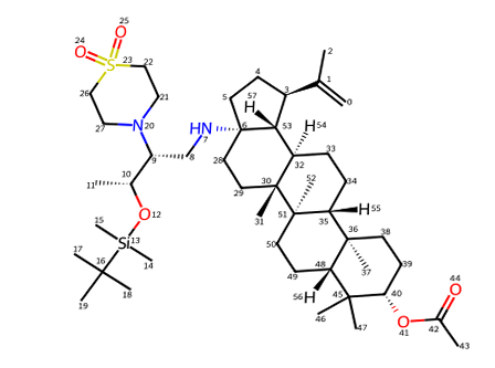 C=C(C)[C@@H]1CC[C@]2(NC[C@H]([C@@H](C)O[Si](C)(C)C(C)(C)C)N3CCS(=O)(=O)CC3)CC[C@]3(C)[C@H](CC[C@@H]4[C@@]5(C)CC[C@H](OC(C)=O)C(C)(C)[C@@H]5CC[C@]43C)[C@@H]12